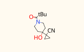 CC(C)(C)C(=O)N1CCC(O)(C2(C#N)CC2)CC1